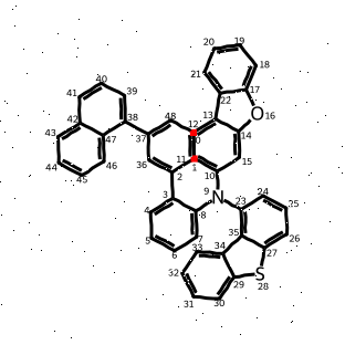 c1cc(-c2ccccc2N(c2ccc3c(c2)oc2ccccc23)c2cccc3sc4ccccc4c23)cc(-c2cccc3ccccc23)c1